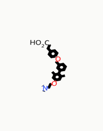 Cc1cc(OCCN(C)C)cc(C)c1-c1cccc(COc2ccc(CCC(=O)O)cc2)c1